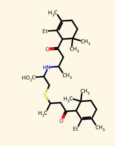 CCC1=C(C)CCC(C)(C)C1C(=O)CC(C)NC(CSC(C)CC(=O)C1C(CC)=C(C)CCC1(C)C)C(=O)O